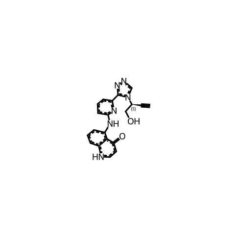 C#C[C@@H](CO)n1cnnc1-c1cccc(Nc2cccc3[nH]ccc(=O)c23)n1